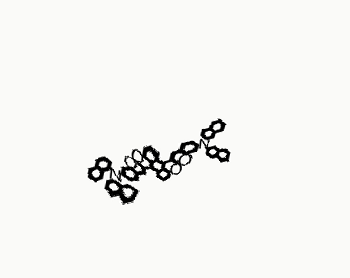 O=c1oc2cc(N(c3ccc4ccccc4c3)c3ccc4ccccc4c3)ccc2cc1-c1c2ccccc2c(-c2cc3ccc(N(c4cccc5ccccc45)c4cccc5ccccc45)cc3oc2=O)c2ccccc12